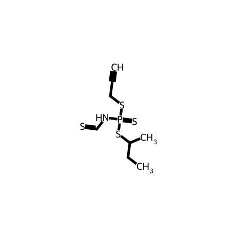 C#CCSP(=S)(NC=S)SC(C)CC